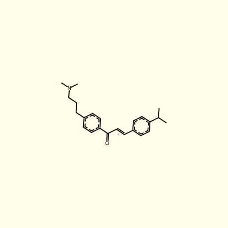 CC(C)c1ccc(/C=C/C(=O)c2ccc(CCCN(C)C)cc2)cc1